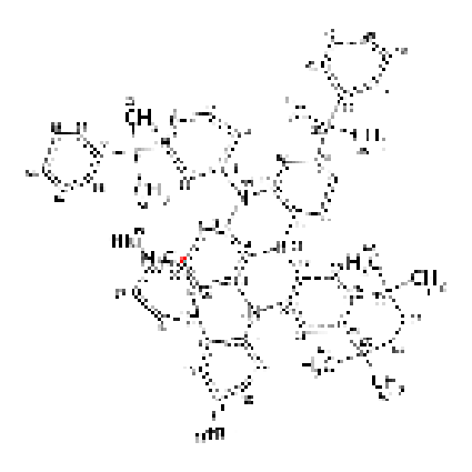 Cc1cc2c3c(c1)N(c1ccc(C(C)(C)C)cc1-c1ccc(C(C)(C)C)cc1)c1cc4c(cc1B3c1ccc(C(C)(C)c3ccccc3)cc1N2c1cccc(C(C)(C)c2ccccc2)c1)C(C)(C)CCC4(C)C